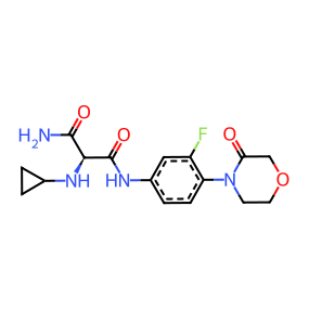 NC(=O)[C@H](NC1CC1)C(=O)Nc1ccc(N2CCOCC2=O)c(F)c1